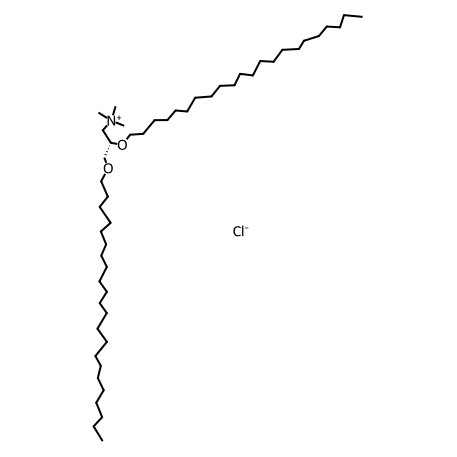 CCCCCCCCCCCCCCCCCCCCCCOC[C@H](C[N+](C)(C)C)OCCCCCCCCCCCCCCCCCCCCCC.[Cl-]